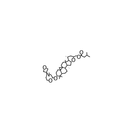 CC(C)CC(=O)OCC1C[C@@H](C)C2C(C[C@@]3(C)C4CCC5C(C)(C)C(OC6CN(C7COC7)CCO6)CCC56CC46CCC23C)O1